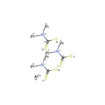 CC(C)N(C(=S)[S-])C(C)C.CC(C)N(C(=S)[S-])C(C)C.CC(C)N(C(=S)[S-])C(C)C.[Al+3]